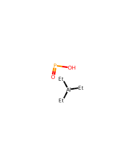 C[CH2][Al]([CH2]C)[CH2]C.O=PO